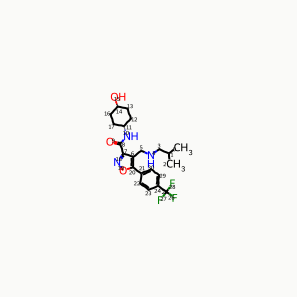 CC(C)CNCc1c(C(=O)N[C@H]2CC[C@H](O)CC2)noc1-c1ccc(C(F)(F)F)cc1